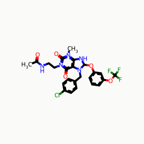 CC(=O)NCCn1c(=O)c2c(n(C)c1=O)NC(Oc1cccc(OC(F)(F)F)c1)N2Cc1ccc(Cl)cc1